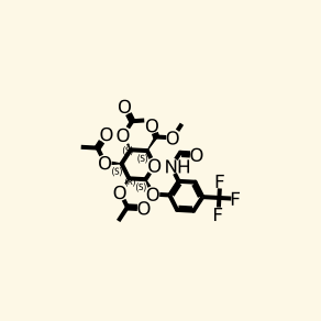 COC(=O)[C@H]1O[C@@H](Oc2ccc(C(F)(F)F)cc2NC=O)[C@H](OC(C)=O)[C@@H](OC(C)=O)[C@@H]1OC(C)=O